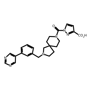 O=C(O)c1ccn(C(=O)N2CCC3(CCN(Cc4cccc(-c5cncnc5)c4)C3)CC2)n1